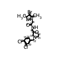 Cc1nn(CC(=O)NCC2CN(Cc3ccc(Cl)c(Cl)c3)CCO2)c(C)c1Br